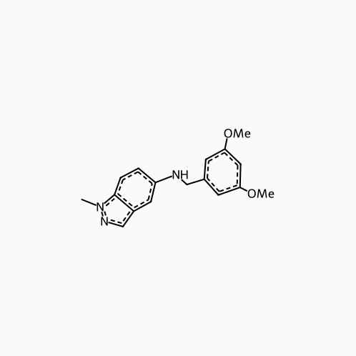 COc1cc(CNc2ccc3c(cnn3C)c2)cc(OC)c1